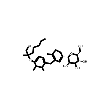 CCCCCC(C)(CO)OC1=CC=C(CC2=C(C)CCC([C@@H]3O[C@H](CO)[C@@H](O)C(O)[C@H]3O)=C2)C(C)C1C